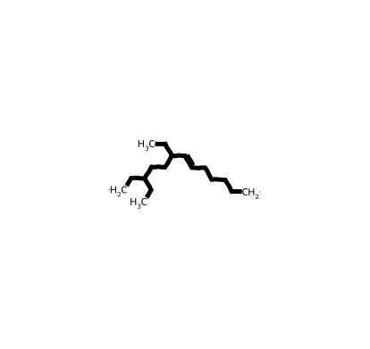 [CH2]CCCCC=CC(CC)CCC(C[CH2])CC